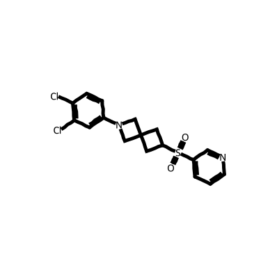 O=S(=O)(c1cccnc1)C1CC2(C1)CN(c1ccc(Cl)c(Cl)c1)C2